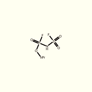 CCCOP(=O)(F)NS(=O)(=O)F